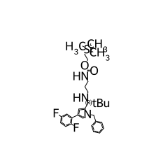 CC(C)(C)[C@@H](NCCCNC(=O)OCC[Si](C)(C)C)c1cc(-c2cc(F)ccc2F)cn1Cc1ccccc1